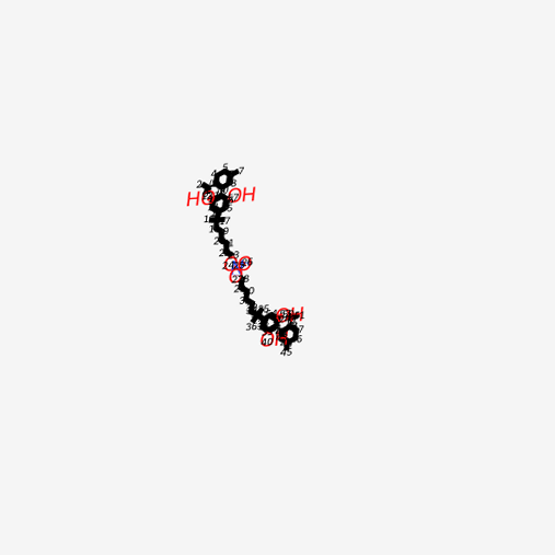 C=C(C)[C@H]1CCC(C)=C[C@@H]1c1c(O)cc(C(C)(C)CCCCCCO[N+](=O)OCCCCCCC(C)(C)c2cc(O)c([C@H]3C=C(C)CC[C@@H]3C(=C)C)c(O)c2)cc1O